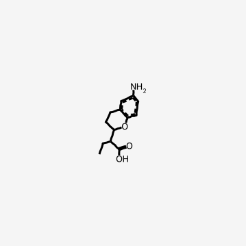 CCC(C(=O)O)C1CCc2cc(N)ccc2O1